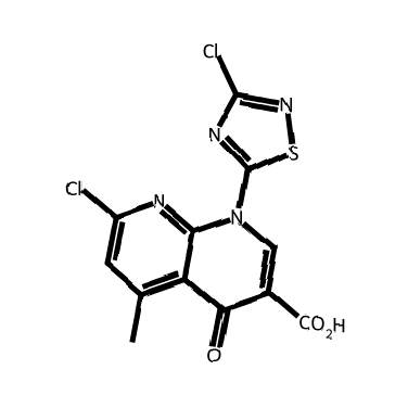 Cc1cc(Cl)nc2c1c(=O)c(C(=O)O)cn2-c1nc(Cl)ns1